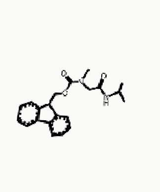 CC(C)NC(=O)CN(C)C(=O)OCC1c2ccccc2-c2ccccc21